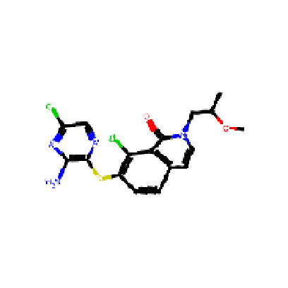 COC(C)Cn1ccc2ccc(Sc3ncc(Cl)nc3N)c(Cl)c2c1=O